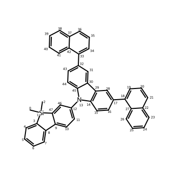 C[Si]1(C)c2ccccc2-c2ccc(-n3c4ccc(-c5cccc6ccccc56)cc4c4cc(-c5cccc6ccccc56)ccc43)cc21